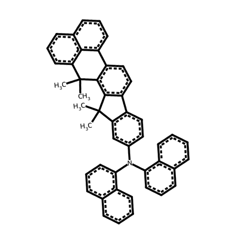 CC1(C)c2cc(N(c3cccc4ccccc34)c3cccc4ccccc34)ccc2-c2ccc3c(c21)C(C)(C)c1cccc2cccc-3c12